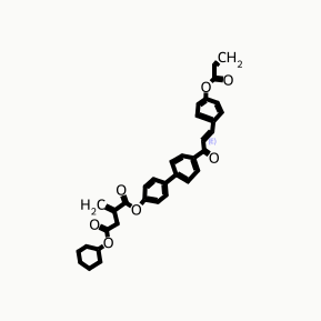 C=CC(=O)Oc1ccc(/C=C/C(=O)c2ccc(-c3ccc(OC(=O)C(=C)CC(=O)OC4CCCCC4)cc3)cc2)cc1